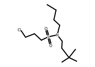 CCCCN(CCC(C)(C)C)S(=O)(=O)CCCCl